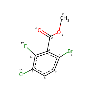 COC(=O)c1c(Br)ccc(Cl)c1F